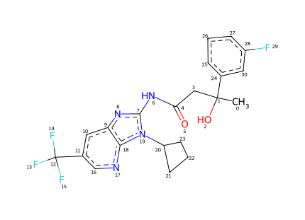 CC(O)(CC(=O)Nc1nc2cc(C(F)(F)F)cnc2n1C1CCC1)c1cccc(F)c1